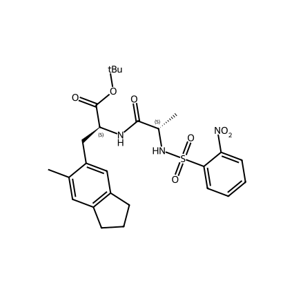 Cc1cc2c(cc1C[C@H](NC(=O)[C@H](C)NS(=O)(=O)c1ccccc1[N+](=O)[O-])C(=O)OC(C)(C)C)CCC2